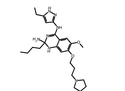 CCCCC1(N)N=C(Nc2cc(CC)[nH]n2)c2cc(OC)c(OCCCN3CCCC3)cc2N1